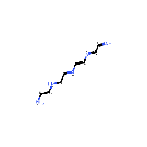 N=CC=NC=CN=CCNCCN